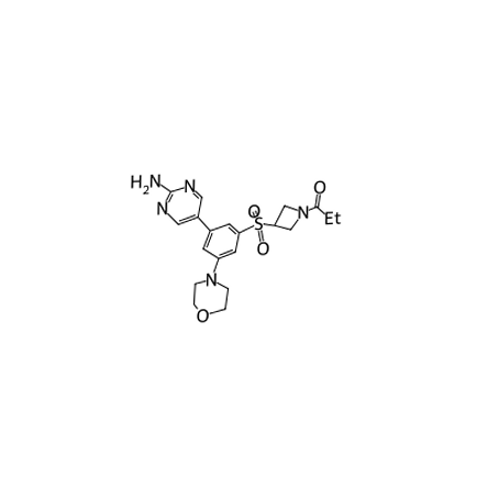 CCC(=O)N1CC(S(=O)(=O)c2cc(-c3cnc(N)nc3)cc(N3CCOCC3)c2)C1